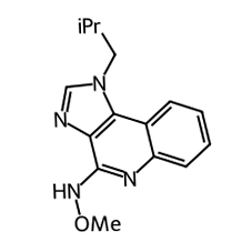 CONc1nc2ccccc2c2c1ncn2CC(C)C